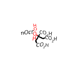 CCCCCCCCO.O=C(O)CC(O)(CC(=O)O)C(=O)O